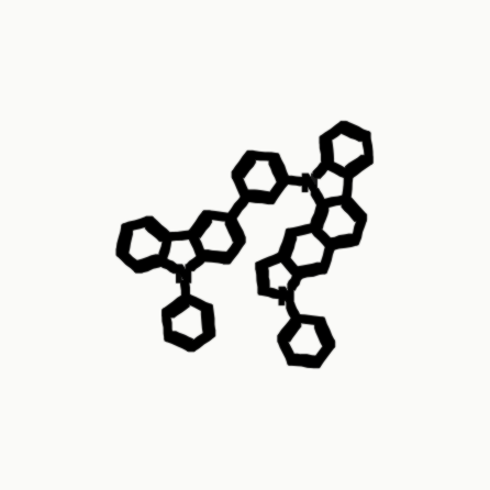 c1ccc(-n2ccc3cc4c(ccc5c6ccccc6n(-c6cccc(-c7ccc8c(c7)c7ccccc7n8-c7ccccc7)c6)c45)cc32)cc1